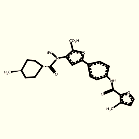 Cc1ccoc1C(=O)Nc1ccc(-c2cc(N(C(=O)[C@H]3CC[C@H](C)CC3)C(C)C)c(C(=O)O)s2)cc1